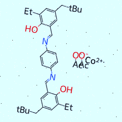 CC(=O)[O-].CC(=O)[O-].CCc1cc(CC(C)(C)C)cc(C=Nc2ccc(N=Cc3cc(CC(C)(C)C)cc(CC)c3O)cc2)c1O.[Co+2]